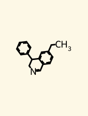 CCc1ccc2c(c1)C(c1ccccc1)CN=C2